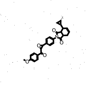 COc1ccc(C(=O)C2OC2c2ccc(N3C(=O)C4CC=CC(C5C[C@@H]5C)C4C3=O)cc2)cc1